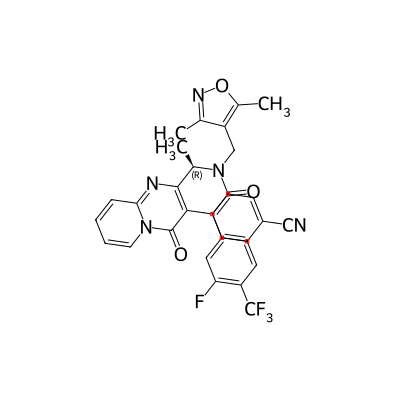 Cc1noc(C)c1CN(C(=O)Cc1ccc(C(F)(F)F)c(F)c1)[C@H](C)c1nc2ccccn2c(=O)c1-c1ccc(C#N)cc1